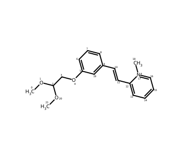 COC(COc1cccc(C=Cc2cccc[n+]2C)c1)OC